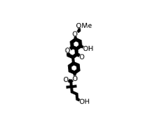 COCOc1cc(O)c2c(=O)c(-c3ccc(OC(=O)C(C)(C)CCCO)cc3)coc2c1